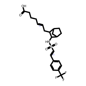 O=C(O)CCC/C=C/CC1C2CCC(C2)C1NS(=O)(=O)/C=C/c1ccc(C(F)(F)F)cc1